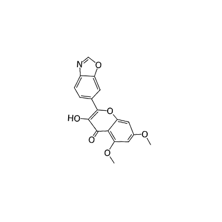 COc1cc(OC)c2c(=O)c(O)c(-c3ccc4ncoc4c3)oc2c1